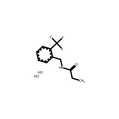 CCC(=O)NCc1ccccc1C(F)(F)F.Cl.Cl